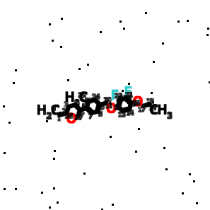 C=CC1CCC(C2=CC=C(COc3ccc(OCCC)c(F)c3F)CC2C)CO1